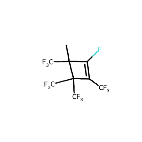 CC1(C(F)(F)F)C(F)=C(C(F)(F)F)C1(C(F)(F)F)C(F)(F)F